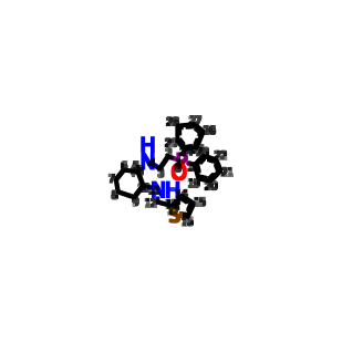 O=P(CCN[C@@H]1CCCCC1NCc1cccs1)(c1ccccc1)c1ccccc1